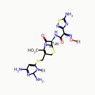 CCO/N=C(\C(=O)N[C@@H]1C(=O)N2C(C(=O)O)=C(CSC3=CC(N)=NC(N)N3CC)CS[C@H]12)c1nsc(N)n1